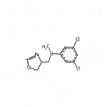 CN(CC1CO[C]=N1)c1cc(Cl)cc(Cl)c1